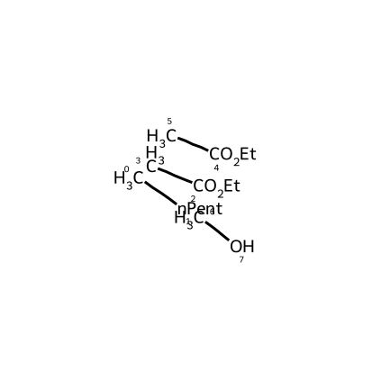 CCCCCC.CCOC(C)=O.CCOC(C)=O.CO